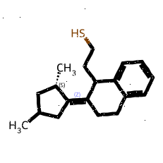 CC1C/C(=C2\CCc3ccccc3C2CCS)[C@@H](C)C1